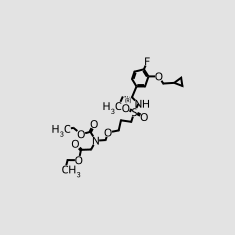 CCOC(=O)CN(COCCCS(=O)(=O)N[C@H](CC)c1ccc(F)c(OCC2CC2)c1)C(=O)OCC